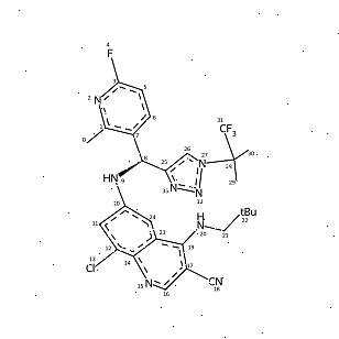 Cc1nc(F)ccc1[C@H](Nc1cc(Cl)c2ncc(C#N)c(NCC(C)(C)C)c2c1)c1cn(C(C)(C)C(F)(F)F)nn1